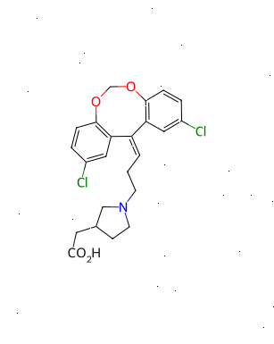 O=C(O)CC1CCN(CCC=C2c3cc(Cl)ccc3OCOc3ccc(Cl)cc32)C1